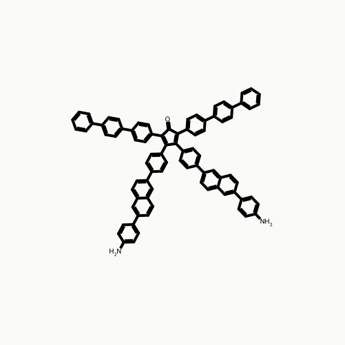 Nc1ccc(-c2ccc3cc(-c4ccc(C5=C(c6ccc(-c7ccc(-c8ccccc8)cc7)cc6)C(=O)C(c6ccc(-c7ccc(-c8ccccc8)cc7)cc6)=C5c5ccc(-c6ccc7cc(-c8ccc(N)cc8)ccc7c6)cc5)cc4)ccc3c2)cc1